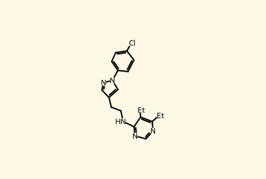 CCc1ncnc(NCCc2cnn(-c3ccc(Cl)cc3)c2)c1CC